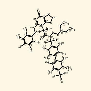 [2H]C1=C(C2=C([2H])C([2H])=C(C(F)(F)F)C(C)C2[2H])C([2H])C([2H])C(C([2H])([2H])N(CCN(CC)CC)C(=O)C([2H])([2H])n2c(SCc3c([2H])c([2H])c(F)c([2H])c3[2H])nc(=O)c3c2CCC3)=C1[2H]